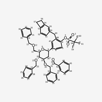 O=S(=O)(Oc1ccc([C@@H]2O[C@H](COCc3ccccc3)[C@@H](OCc3ccccc3)[C@H](OCc3ccccc3)[C@H]2OCc2ccccc2)cc1Cc1ccc2c(c1)CC2)C(F)(F)F